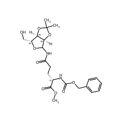 COC(=O)[C@H](CCC(=O)NC1O[C@H](CO)[C@H]2OC(C)(C)O[C@@H]12)NC(=O)OCc1ccccc1